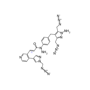 [N-]=[N+]=NCc1nn(N)c(CN=[N+]=[N-])c1Cc1ccc(N(N)C(=O)/C=C/c2cnccc2-c2cnn(CN=[N+]=[N-])c2)cc1